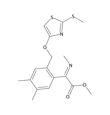 C/N=C(/C(=O)OC)c1cc(C)c(C)cc1COc1csc(SC)n1